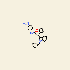 N[C@H]1CC[C@H](NC(=O)CC(c2ccccc2)c2cn(CC3CCCCC3)c3ccccc23)CC1